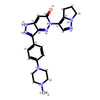 CN1CCN(c2ccc(-c3n[nH]c4cc(=O)n(-c5cnn6c5CCC6)nc34)cc2)CC1